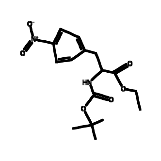 CCOC(=O)C(Cc1ccc([N+](=O)[O-])cc1)NC(=O)OC(C)(C)C